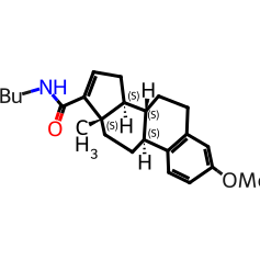 COc1ccc2c(c1)CC[C@@H]1[C@@H]2CC[C@]2(C)C(C(=O)NC(C)(C)C)=CC[C@@H]12